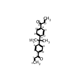 C=CC(=O)c1ccc(C(C)(C)c2ccc(C(=O)C=C)cc2)cc1